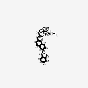 COC(=O)C1(C)OCC(Cc2ccc3cc(OCc4ccccc4F)ccc3c2)CO1